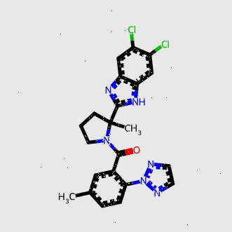 Cc1ccc(-n2nccn2)c(C(=O)N2CCCC2(C)c2nc3cc(Cl)c(Cl)cc3[nH]2)c1